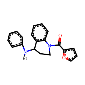 CCN(c1ccccc1)C1CCN(C(=O)c2ccco2)c2ccccc21